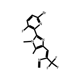 C=N/C(=C\c1nc(-c2nc(Br)ccc2F)n(C)c1C)C(F)(F)F